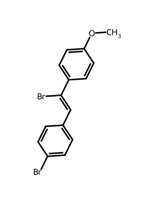 COc1ccc(/C(Br)=C/c2ccc(Br)cc2)cc1